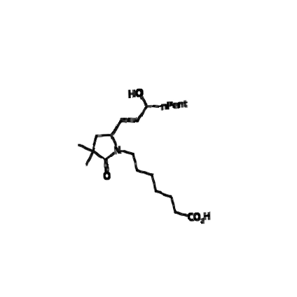 CCCCCC(O)C=CC1CC(C)(C)C(=O)N1CCCCCCC(=O)O